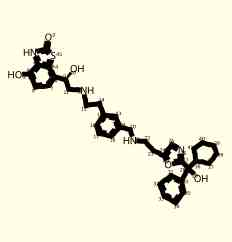 O=c1[nH]c2c(O)ccc([C@@H](O)CNCCc3cccc(CNCCc4cnc(C(O)(c5ccccc5)C5CCCCC5)o4)c3)c2s1